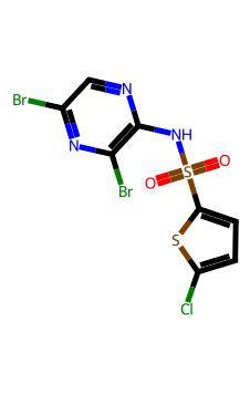 O=S(=O)(Nc1ncc(Br)nc1Br)c1ccc(Cl)s1